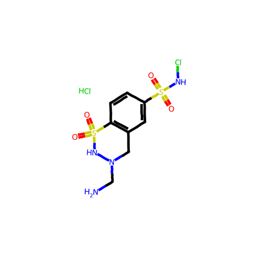 Cl.NCN1Cc2cc(S(=O)(=O)NCl)ccc2S(=O)(=O)N1